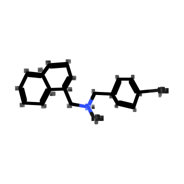 CCCCN(Cc1ccc(C(C)(C)C)cc1)Cc1cccc2ccccc12